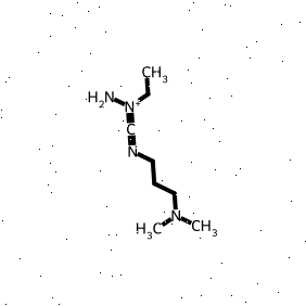 CC[N+](N)=C=NCCCN(C)C